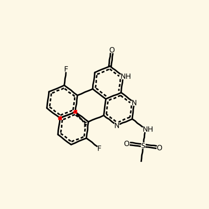 CS(=O)(=O)Nc1nc(-c2ccccc2F)c2c(-c3c(F)cccc3F)cc(=O)[nH]c2n1